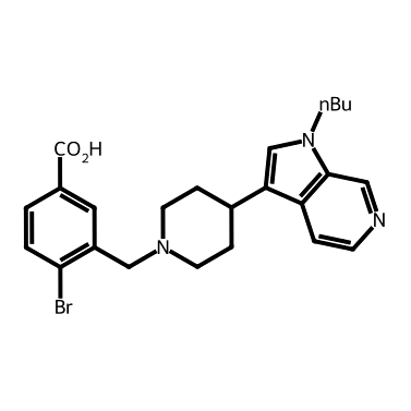 CCCCn1cc(C2CCN(Cc3cc(C(=O)O)ccc3Br)CC2)c2ccncc21